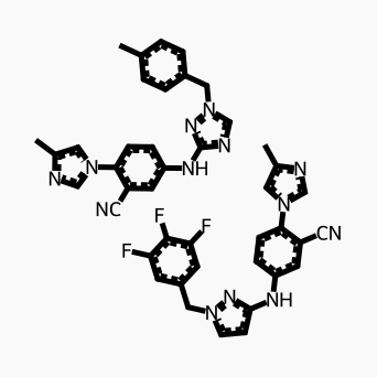 Cc1ccc(Cn2cnc(Nc3ccc(-n4cnc(C)c4)c(C#N)c3)n2)cc1.Cc1cn(-c2ccc(Nc3ccn(Cc4cc(F)c(F)c(F)c4)n3)cc2C#N)cn1